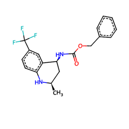 C[C@@H]1C[C@H](NC(=O)OCc2ccccc2)c2cc(C(F)(F)F)ccc2N1